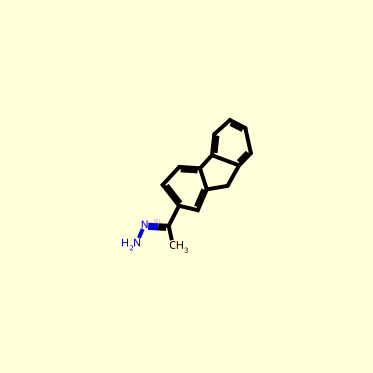 C/C(=N\N)c1ccc2c(c1)Cc1ccccc1-2